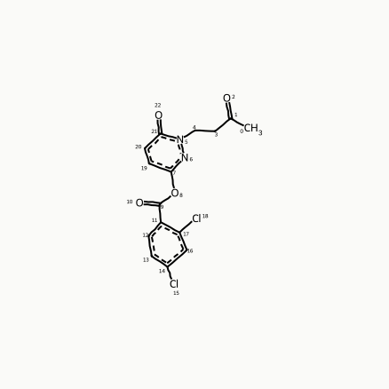 CC(=O)CCn1nc(OC(=O)c2ccc(Cl)cc2Cl)ccc1=O